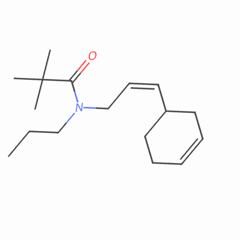 CCCN(C/C=C\C1CC=CCC1)C(=O)C(C)(C)C